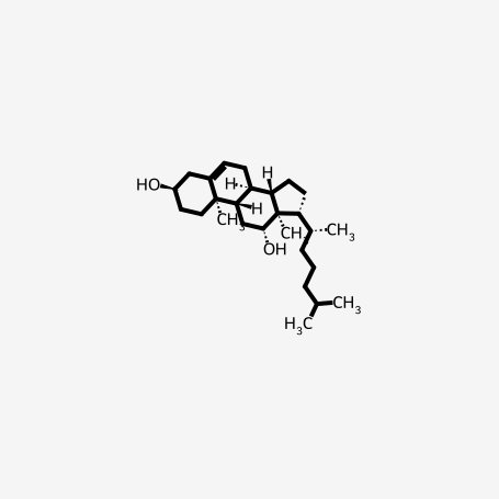 CC(C)CCC[C@@H](C)[C@H]1CC[C@H]2[C@@H]3CC=C4C[C@H](O)CC[C@]4(C)[C@H]3C[C@@H](O)[C@]12C